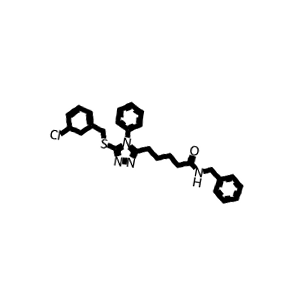 O=C(CCCCc1nnc(SCC2=CC=CC(Cl)C2)n1-c1ccccc1)NCc1ccccc1